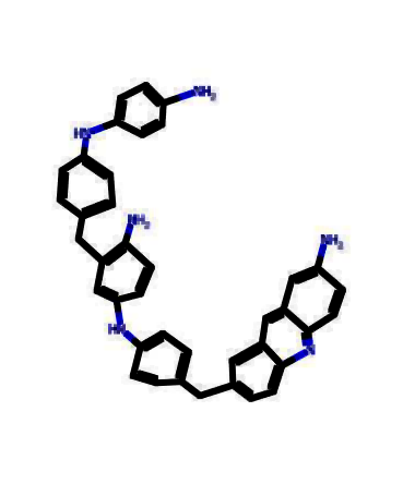 Nc1ccc(Nc2ccc(Cc3cc(Nc4ccc(Cc5ccc6nc7ccc(N)cc7cc6c5)cc4)ccc3N)cc2)cc1